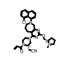 C=CC(=O)N1CCN(c2nc(OC[C@H]3CCCN3C)nc3c2CCCN(c2cccc4cccc(Cl)c24)C3)C[C@@H]1CC#N